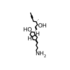 CC#CC[C@H](C)[C@H](O)/C=C/[C@@H]1[C@H]2C/C(=C/CCCN)C[C@H]2C[C@H]1O